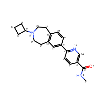 CNC(=O)c1ccc(-c2ccc3c(c2)CCN(C2CCC2)CC3)nc1